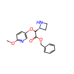 COc1ccc(OC(C(=O)OCc2ccccc2)[C@@H]2CCN2)cn1